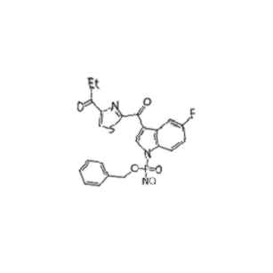 CCC(=O)c1csc(C(=O)c2cn(P(=O)(N=O)OCc3ccccc3)c3ccc(F)cc23)n1